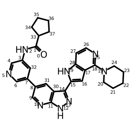 O=C(Nc1cncc(-c2cnc3[nH]nc(-c4cc5c(N6CCCCC6)nccc5[nH]4)c3c2)c1)C1CCCC1